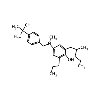 CCCc1cc(N(C)Cc2ccc(C(C)(C)C)cc2)cc(CC(C)CCC)c1O